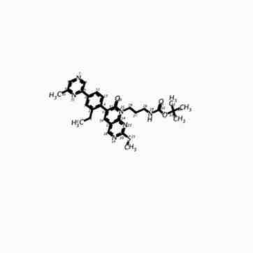 CCc1cc(-c2cncc(C)n2)ccc1-c1cc2cnc(SC)nc2n(CCCNC(=O)OC(C)(C)C)c1=O